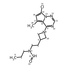 CCCN(CCC1CN(c2ncnn3c(Cl)cc(C)c23)C1)[SH]=O